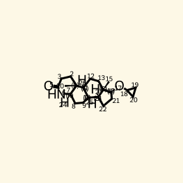 C[C@]12CCC(=O)N[C@@H]1CC[C@@H]1[C@@H]2CC[C@]2(C)[C@@H](OC3CC3)CC[C@@H]12